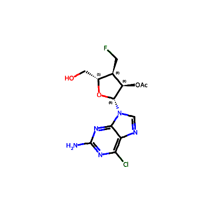 CC(=O)O[C@@H]1[C@H](CF)[C@@H](CO)O[C@H]1n1cnc2c(Cl)nc(N)nc21